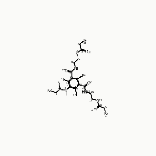 O=C(CBr)Nc1c(I)c(C(=O)NCCOC(=O)CBr)c(I)c(C(=O)NCCOC(=O)CBr)c1I